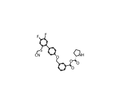 N#CCSc1cc(F)c(F)cc1-c1ccc(OCc2cccc(C(=O)OC(=O)[C@@H]3CCCN3)c2)cc1